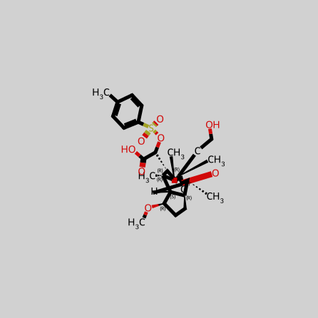 CO[C@@H]1CC[C@@]23CC[C@@H](C)[C@](C)([C@H](C(OS(=O)(=O)c4ccc(C)cc4)C(=O)O)C[C@](C)(CCO)C(=O)[C@@H]2C)[C@@H]13